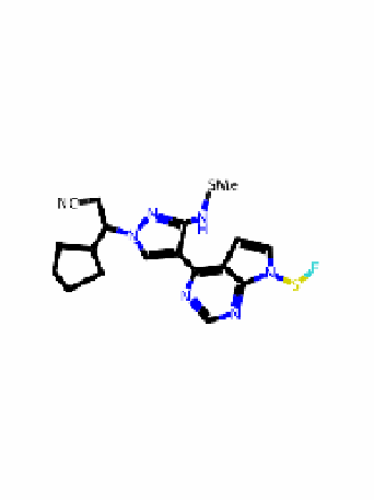 CSNc1nn(C(CC#N)C2CCCC2)cc1-c1ncnc2c1ccn2SF